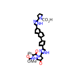 COC(=O)NC(C(=O)N1CC(=O)CC1c1nc(-c2ccc(-c3ccc4cc(-c5cnc(C6CCCN6C(=O)O)[nH]5)ccc4c3)cc2)c[nH]1)C(C)C